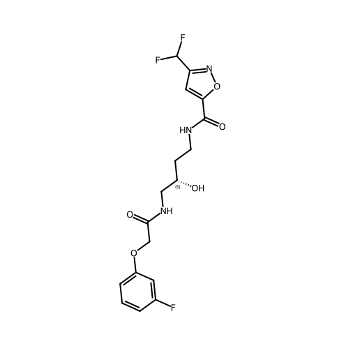 O=C(COc1cccc(F)c1)NC[C@@H](O)CCNC(=O)c1cc(C(F)F)no1